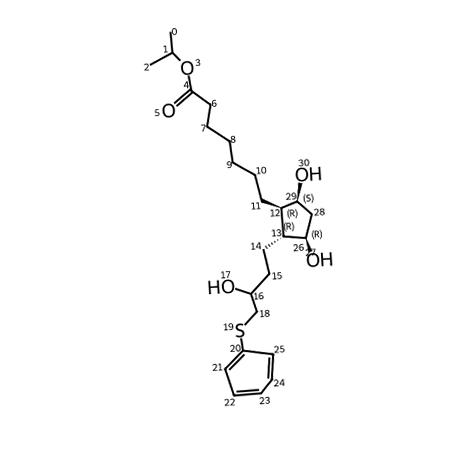 CC(C)OC(=O)CCCCCC[C@@H]1[C@@H](CCC(O)CSc2ccccc2)[C@H](O)C[C@@H]1O